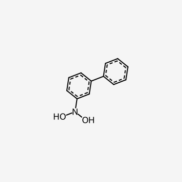 ON(O)c1cccc(-c2ccccc2)c1